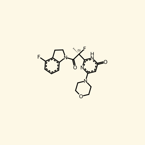 C[C@@](F)(C(=O)N1CCc2c(F)cccc21)c1nc(N2CCOCC2)cc(=O)[nH]1